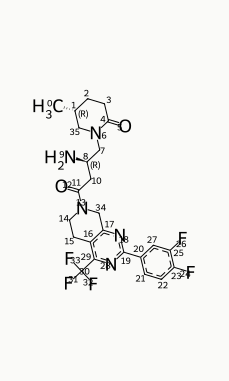 C[C@@H]1CCC(=O)N(C[C@H](N)CC(=O)N2CCc3c(nc(-c4ccc(F)c(F)c4)nc3C(F)(F)F)C2)C1